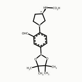 CC1(C)OB(c2ccc(N3CC[C@@H](NC(=O)O)C3)c(C=O)c2)OC1(C)C